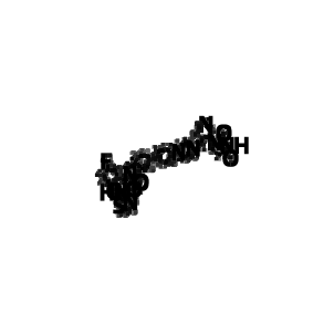 O=C1CCN(c2cnccc2CN2CCN(c3ccc(-c4ccc5c(c4)C(=O)N(C(C(=O)Nc4nccs4)c4cc(F)ccc4O)C5)cc3)CC2)C(=O)N1